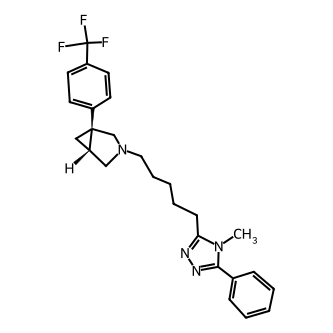 Cn1c(CCCCCN2C[C@@H]3C[C@]3(c3ccc(C(F)(F)F)cc3)C2)nnc1-c1ccccc1